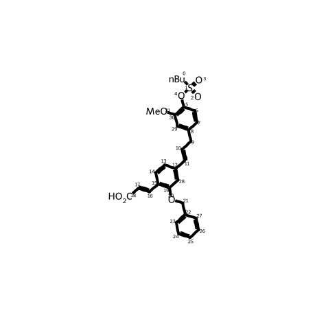 CCCCS(=O)(=O)Oc1ccc(CC=Cc2ccc(C=CC(=O)O)c(OCc3ccccc3)c2)cc1OC